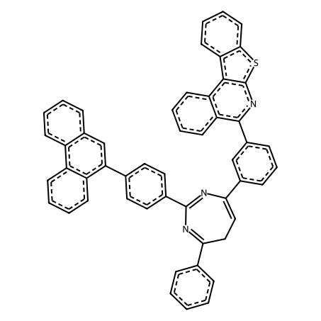 C1=C(c2cccc(-c3nc4sc5ccccc5c4c4ccccc34)c2)N=C(c2ccc(-c3cc4ccccc4c4ccccc34)cc2)N=C(c2ccccc2)C1